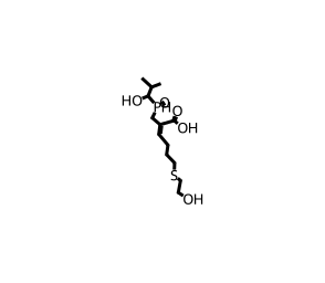 CC(C)C(O)[PH](=O)CC(=CCCCSCCO)C(=O)O